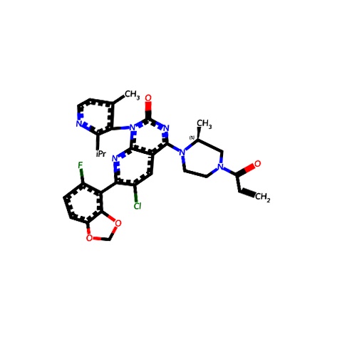 C=CC(=O)N1CCN(c2nc(=O)n(-c3c(C)ccnc3C(C)C)c3nc(-c4c(F)ccc5c4OCO5)c(Cl)cc23)[C@@H](C)C1